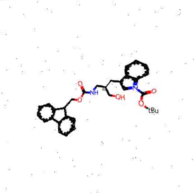 CC(C)(C)OC(=O)n1cc(C[C@@H](CO)CNC(=O)OCC2c3ccccc3-c3ccccc32)c2ccccc21